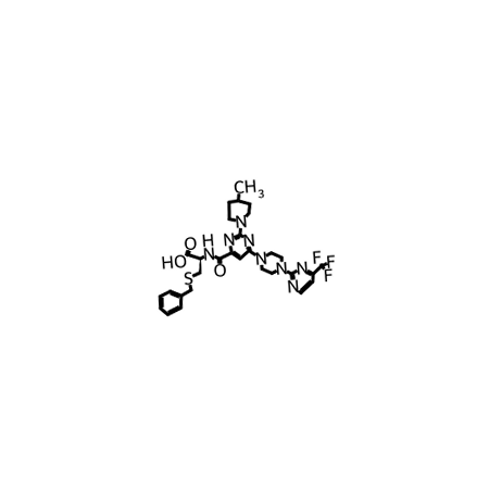 CC1CCN(c2nc(C(=O)N[C@@H](CSCc3ccccc3)C(=O)O)cc(N3CCN(c4nccc(C(F)(F)F)n4)CC3)n2)CC1